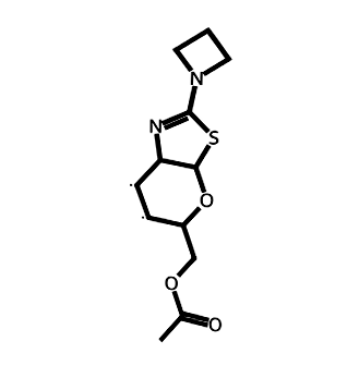 CC(=O)OCC1[CH][CH]C2N=C(N3CCC3)SC2O1